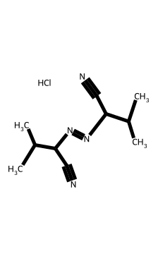 CC(C)C(C#N)N=NC(C#N)C(C)C.Cl